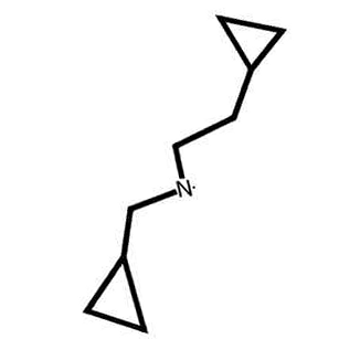 C(CC1CC1)[N]CC1CC1